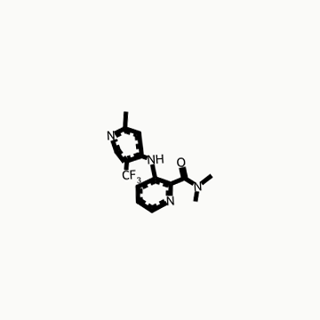 Cc1cc(Nc2cccnc2C(=O)N(C)C)c(C(F)(F)F)cn1